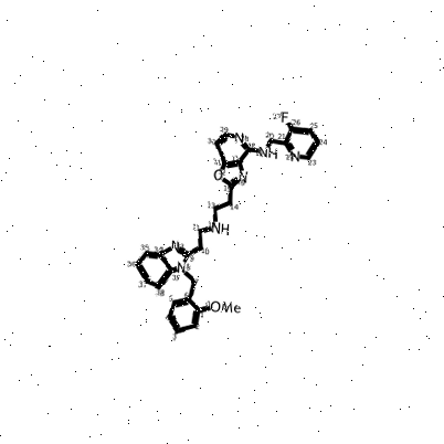 COc1ccccc1Cn1c(CCNCCc2nc3c(NCc4ncccc4F)nccc3o2)nc2ccccc21